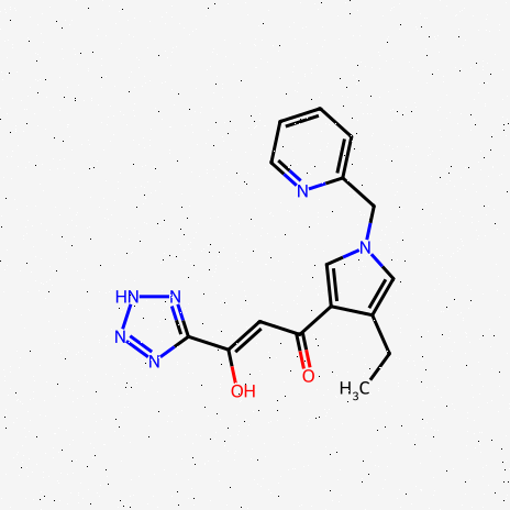 CCc1cn(Cc2ccccn2)cc1C(=O)C=C(O)c1nn[nH]n1